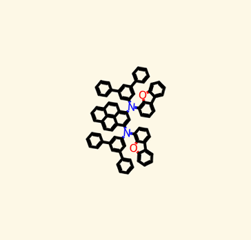 c1ccc(-c2cc(-c3ccccc3)cc(N(c3cc(N(c4cc(-c5ccccc5)cc(-c5ccccc5)c4)c4cccc5c4oc4ccccc45)c4ccc5cccc6ccc3c4c65)c3cccc4c3oc3ccccc34)c2)cc1